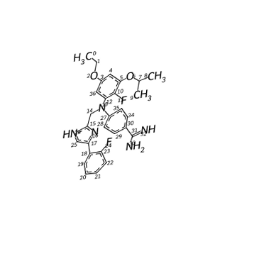 CCOc1cc(OC(C)C)c(F)c(N(Cc2nc(-c3ccccc3F)c[nH]2)c2ccc(C(=N)N)cc2)c1